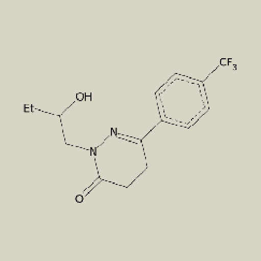 CCC(O)CN1N=C(c2ccc(C(F)(F)F)cc2)CCC1=O